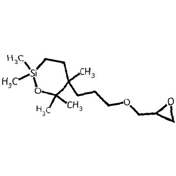 CC1(CCCOCC2CO2)CC[Si](C)(C)OC1(C)C